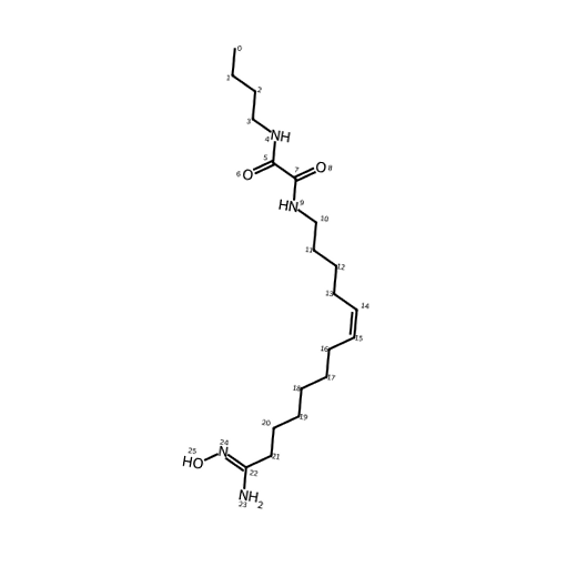 CCCCNC(=O)C(=O)NCCCC/C=C\CCCCCCC(N)=NO